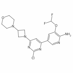 Nc1ncc(-c2cc(N3CC(N4CCOCC4)C3)nc(Cl)n2)cc1OC(F)F